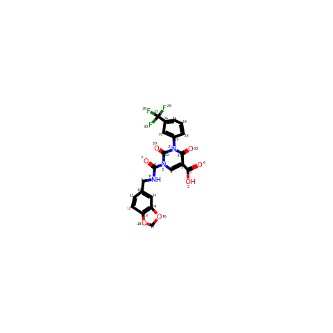 O=C(O)c1cn(C(=O)NCc2ccc3c(c2)OCO3)c(=O)n(-c2cccc(C(F)(F)F)c2)c1=O